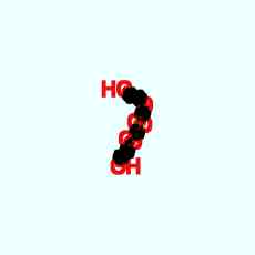 O=C(Oc1ccc(S(=O)(=O)c2ccc(Oc3ccc4cc(O)ccc4c3)cc2)cc1)c1ccc2cc(O)ccc2c1